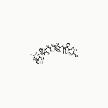 CC(C)CC(C(=O)NO)C(=O)Nc1ccc(Cn2cc(CNC(=O)c3ccc(I)cc3)nn2)cc1